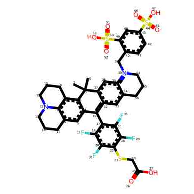 CC1(C)c2c(cc3c4c2CCCN4CCC3)C(c2c(F)c(F)c(SCC(=O)O)c(F)c2F)=c2cc3c(cc21)=[N+](Cc1ccc(S(=O)(=O)O)cc1S(=O)(=O)O)CCC3